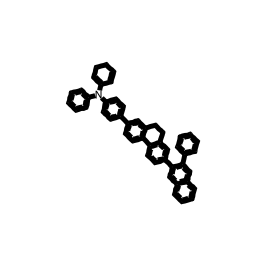 C1=CC(N(c2ccccc2)c2ccc(-c3ccc4c(c3)CCc3cc(-c5cc6ccccc6cc5-c5ccccc5)ccc3-4)cc2)=CCC1